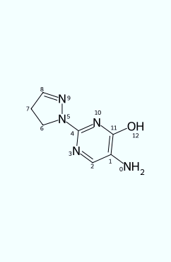 Nc1cnc(N2CCC=N2)nc1O